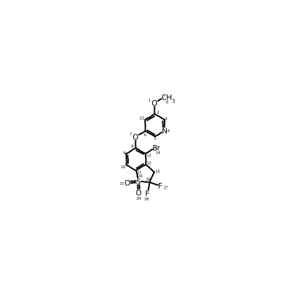 COc1cncc(Oc2ccc3c(c2Br)CC(F)(F)S3(=O)=O)c1